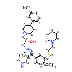 N#Cc1cccc(C2CCN(CC(O)Cn3nc(-c4ccc(C(F)(F)F)c(SCCN5CCCCC5)c4)c4c3CCNC4)CC2)c1